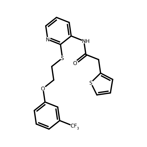 O=C(Cc1cccs1)Nc1cccnc1SCCOc1cccc(C(F)(F)F)c1